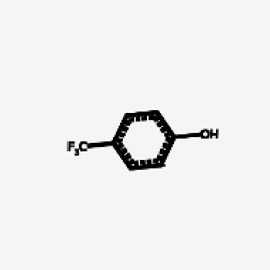 Oc1[c]cc(C(F)(F)F)cc1